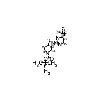 CC(C)(C)OC(=O)N1CCC2CN(c3nccc(C(F)(F)F)n3)C2C1